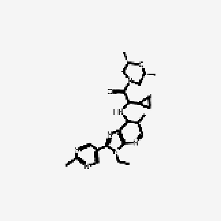 CCn1c(-c2cnc(C)nc2)nc2c1N=CC(C)C2NC(C(=O)N1C[C@@H](C)O[C@@H](C)C1)C1CC1